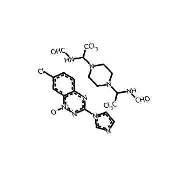 O=CNC(N1CCN(C(NC=O)C(Cl)(Cl)Cl)CC1)C(Cl)(Cl)Cl.[O-][n+]1nc(-n2ccnc2)nc2ccc(Cl)cc21